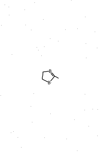 CC1=BCC[B]1